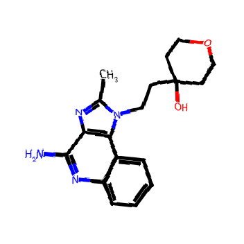 Cc1nc2c(N)nc3ccccc3c2n1CCC1(O)CCOCC1